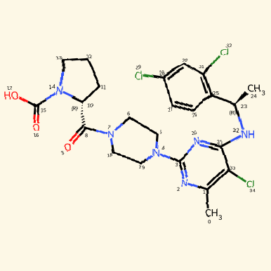 Cc1nc(N2CCN(C(=O)[C@H]3CCCN3C(=O)O)CC2)nc(N[C@H](C)c2ccc(Cl)cc2Cl)c1Cl